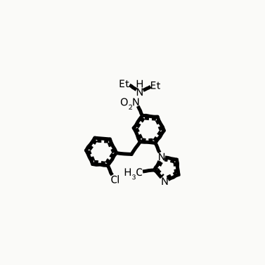 CCNCC.Cc1nccn1-c1ccc([N+](=O)[O-])cc1Cc1ccccc1Cl